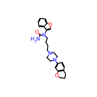 NC(=O)N(CCCCN1CCN(c2ccc3c(c2)OCCC3)CC1)c1coc2ccccc12